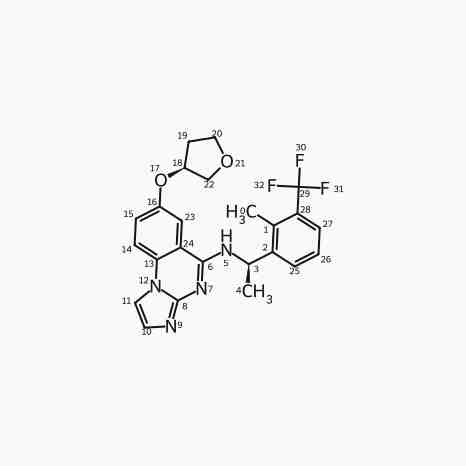 Cc1c([C@@H](C)Nc2nc3nccn3c3ccc(O[C@H]4CCOC4)cc23)cccc1C(F)(F)F